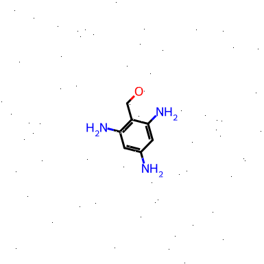 Nc1cc(N)c(C[O])c(N)c1